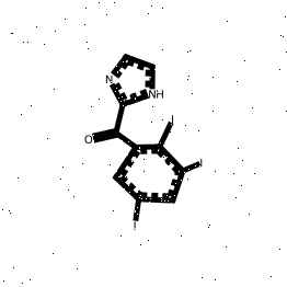 O=C(c1ncc[nH]1)c1cc(I)cc(I)c1I